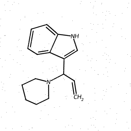 C=CC(c1c[nH]c2ccccc12)N1CCCCC1